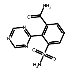 NC(=O)c1cccc(S(N)(=O)=O)c1-c1ncncn1